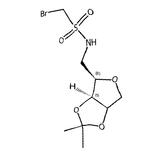 CC1(C)OC2CO[C@H](CNS(=O)(=O)CBr)[C@@H]2O1